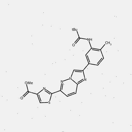 COC(=O)c1csc(-c2ccc3nc(-c4ccc(C)c(NC(=O)C(C)(C)C)c4)cn3n2)n1